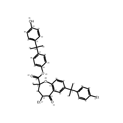 CCc1ccc(C(C)(C)c2ccc3c(c2)C(=O)C(CC)CC(C)(C(=O)Oc2ccc(C(C)(C)c4ccc(O)cc4)cc2)O3)cc1